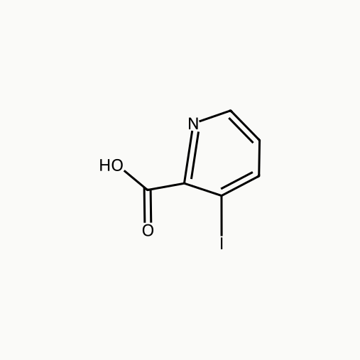 O=C(O)c1ncccc1I